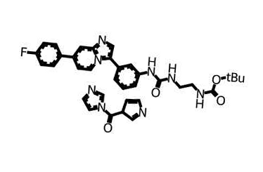 CC(C)(C)OC(=O)NCCNC(=O)Nc1cccc(-c2cnc3cc(-c4ccc(F)cc4)ccn23)c1.O=C(C1C=CN=C1)n1ccnc1